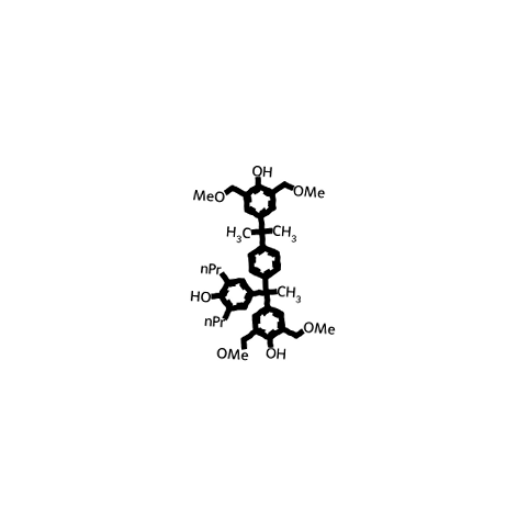 CCCc1cc(C(C)(c2ccc(C(C)(C)c3cc(COC)c(O)c(COC)c3)cc2)c2cc(COC)c(O)c(COC)c2)cc(CCC)c1O